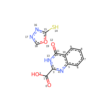 O=C(O)c1nc2ccccc2c(=O)[nH]1.Sc1nnco1